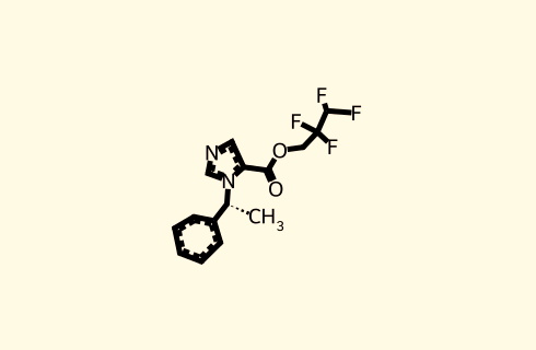 C[C@H](c1ccccc1)n1cncc1C(=O)OCC(F)(F)C(F)F